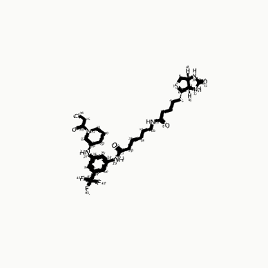 O=C(CCCC[C@@H]1SC[C@@H]2NC(=O)N[C@@H]21)NCCCCCC(=O)Nc1cc(N[C@@H]2CCCN(C(=O)CCl)C2)cc(C(F)(F)F)c1